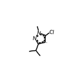 CC(C)c1[c]c(Cl)n(C)n1